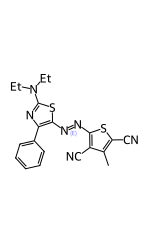 CCN(CC)c1nc(-c2ccccc2)c(/N=N/c2sc(C#N)c(C)c2C#N)s1